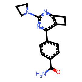 NC(=O)c1ccc(-c2nc(N3CCC3)nc3c2CC3)cc1